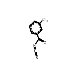 O=C(N=C=S)c1cccc(C(F)(F)F)c1